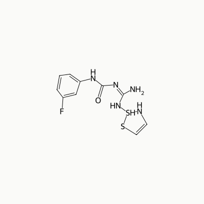 NC(=NC(=O)Nc1cccc(F)c1)N[SH]1NC=CS1